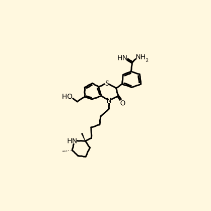 C[C@H]1CCC[C@@](C)(CCCCCN2C(=O)C(c3cccc(C(=N)N)c3)Sc3ccc(CO)cc32)N1